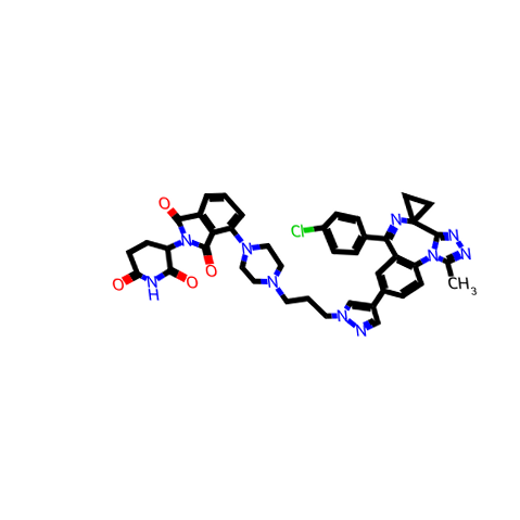 Cc1nnc2n1-c1ccc(-c3cnn(CCCN4CCN(c5cccc6c5C(=O)N(C5CCC(=O)NC5=O)C6=O)CC4)c3)cc1C(c1ccc(Cl)cc1)=NC21CC1